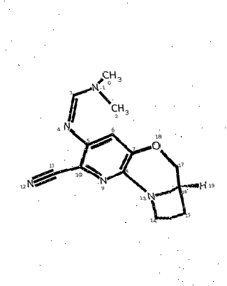 CN(C)/C=N\c1cc2c(nc1C#N)N1CC[C@H]1CO2